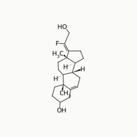 C[C@]12CCC(O)CC1=CC[C@@H]1[C@@H]2CC[C@]2(C)C(=C(F)CO)CC[C@@H]12